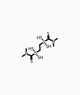 CN(C)C(=S)S(S)(S)CCS(S)(S)C(=S)N(C)C